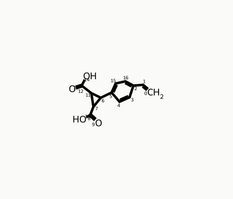 C=Cc1ccc(C2C(C(=O)O)C2C(=O)O)cc1